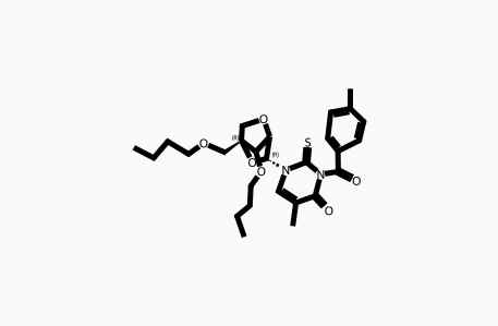 CCCCOC[C@@]12COC(C1OCCCC)[C@H](n1cc(C)c(=O)n(C(=O)c3ccc(C)cc3)c1=S)O2